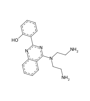 NCCN(CCN)c1nc(-c2ccccc2O)nc2ccccc12